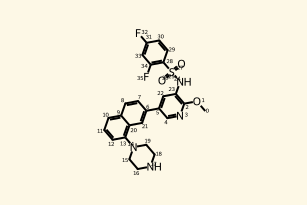 COc1ncc(-c2ccc3cccc(N4CCNCC4)c3c2)cc1NS(=O)(=O)c1ccc(F)cc1F